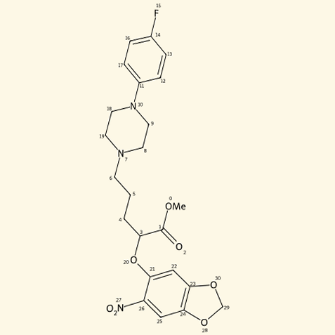 COC(=O)C(CCCN1CCN(c2ccc(F)cc2)CC1)Oc1cc2c(cc1[N+](=O)[O-])OCO2